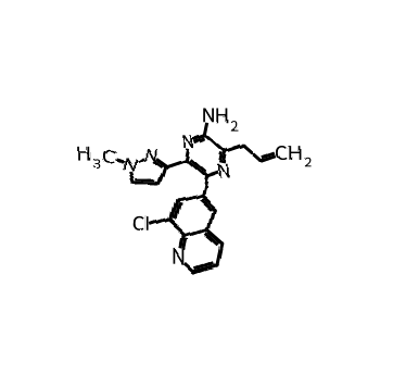 C=CCc1nc(-c2cc(Cl)c3ncccc3c2)c(-c2ccn(C)n2)nc1N